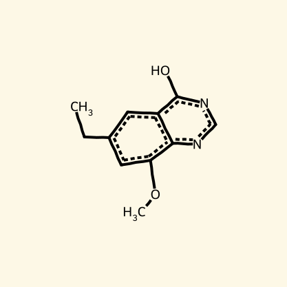 CCc1cc(OC)c2ncnc(O)c2c1